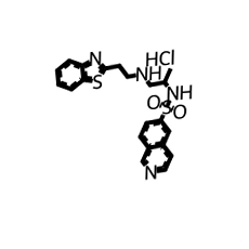 CC(CNCCc1nc2ccccc2s1)NS(=O)(=O)c1ccc2cnccc2c1.Cl